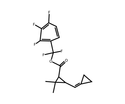 CC1(C)C(C=C2CC2)C1C(=O)OC(F)(F)c1ccc(F)c(F)c1F